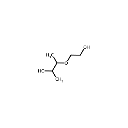 CC(O)C(C)OCCO